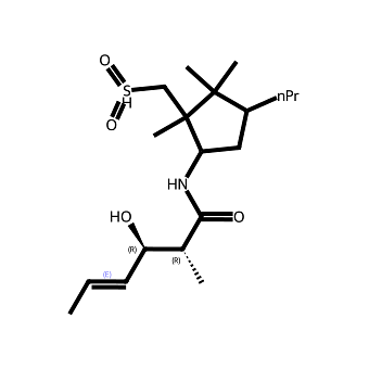 C/C=C/[C@@H](O)[C@@H](C)C(=O)NC1CC(CCC)C(C)(C)C1(C)C[SH](=O)=O